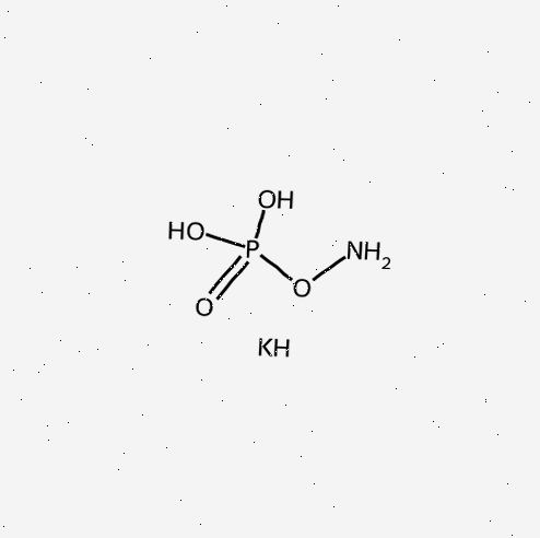 NOP(=O)(O)O.[KH]